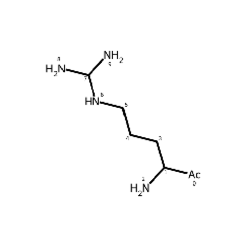 CC(=O)C(N)CCCNC(N)N